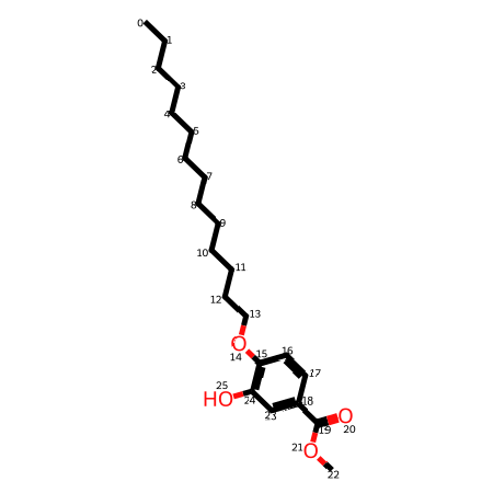 CCCCCCCCCCCCCCOc1ccc(C(=O)OC)cc1O